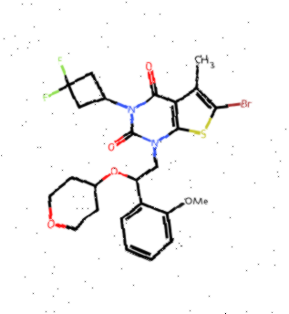 COc1ccccc1C(Cn1c(=O)n(C2CC(F)(F)C2)c(=O)c2c(C)c(Br)sc21)OC1CCOCC1